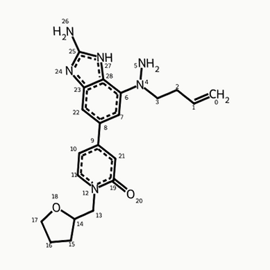 C=CCCN(N)c1cc(-c2ccn(CC3CCCO3)c(=O)c2)cc2nc(N)[nH]c12